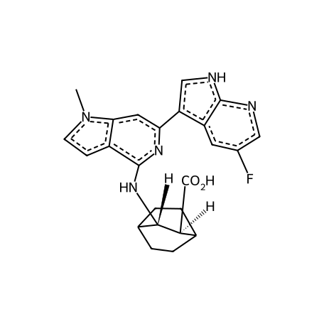 Cn1ccc2c(N[C@H]3C4CCC(CC4)[C@@H]3C(=O)O)nc(-c3c[nH]c4ncc(F)cc34)cc21